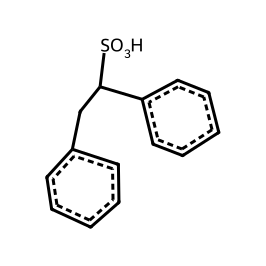 O=S(=O)(O)C(Cc1ccccc1)c1ccccc1